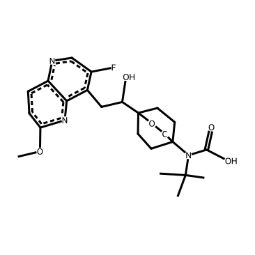 COc1ccc2ncc(F)c(CC(O)C34CCC(N(C(=O)O)C(C)(C)C)(CC3)CO4)c2n1